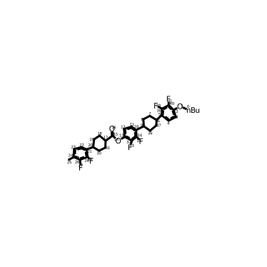 CCCCOc1ccc(C2CCC(c3ccc(OC(=O)C4CCC(c5ccc(C)c(F)c5F)CC4)c(F)c3F)CC2)c(F)c1F